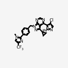 CC(C)n1ncc(Cl)c1-c1ncnc2c1c(C1CC1)nn2Cc1ccc(-c2nc(C(F)(F)F)cn2C)cc1